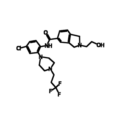 O=C(Nc1ccc(Cl)cc1N1CCN(CCC(F)(F)F)CC1)c1ccc2c(c1)CN(CCO)C2